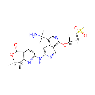 C[C@@H]1[C@@H](Oc2ncc(C(C)(C)N)c3cc(Nc4ccc5c(n4)[C@@H](C)[C@H](C)OC5=O)ncc23)C[C@H]1S(C)(=O)=O